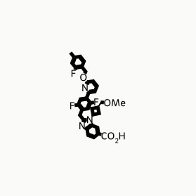 COC[C@H]1C[C@@H](n2c(Cc3cc(F)c(-c4cccc(OCc5ccc(C)cc5F)n4)cc3F)nc3ccc(C(=O)O)cc32)C1